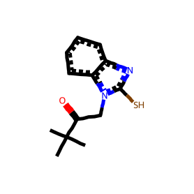 CC(C)(C)C(=O)Cn1c(S)nc2ccccc21